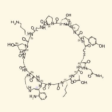 CCCC[C@H]1C(=O)N[C@@H](CC(=O)O)C(=O)N[C@H](C(=O)NCC(N)=O)CSCC(=O)N[C@@H](Cc2ccc(O)cc2)C(=O)N2CCCC[C@H]2C(=O)N[C@@H](CC(=O)O)C(=O)N2CCC[C@H]2C(=O)NCC(=O)N[C@@H](CCCCN)C(=O)N2C[C@H](O)C[C@H]2C(=O)NCC(=O)N[C@H]2CCCCN/C=C(\c3ccccc3N)C[C@H](NC2=O)C(=O)N(C)CC(=O)N1C